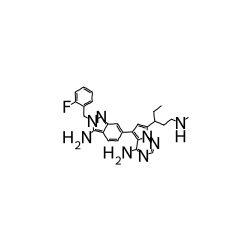 CCC(CCNC)c1cc(-c2ccc3c(N)n(Cc4ccccc4F)nc3c2)c2c(N)ncnn12